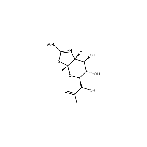 C=C(C)C(O)[C@H]1O[C@@H]2SC(NC)=N[C@@H]2[C@@H](O)[C@@H]1O